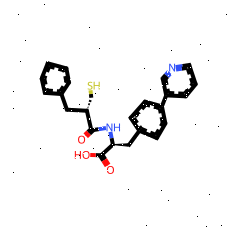 O=C(N[C@@H](Cc1ccc(-c2cccnc2)cc1)C(=O)O)[C@@H](CS)Cc1ccccc1